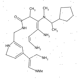 CN/C=C(\CN)C1=CCNC(CNC(=O)C(C)/C(=C(N)\C=C/N)N(C)C(C)C2CCCC2)=C1